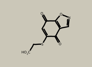 O=C(O)CSC1=CC(=O)c2oncc2C1=O